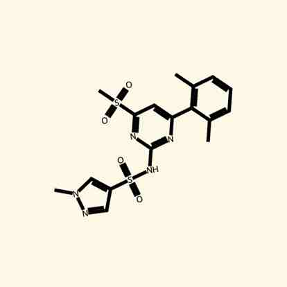 Cc1cccc(C)c1-c1cc(S(C)(=O)=O)nc(NS(=O)(=O)c2cnn(C)c2)n1